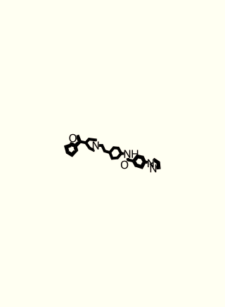 O=C(NC1CCC(CCN2CCC(c3coc4ccccc34)CC2)CC1)c1ccc(-n2cccn2)cc1